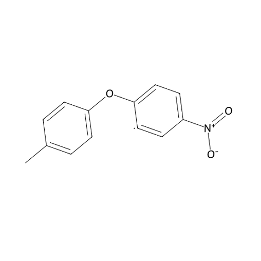 Cc1ccc(Oc2[c]cc([N+](=O)[O-])cc2)cc1